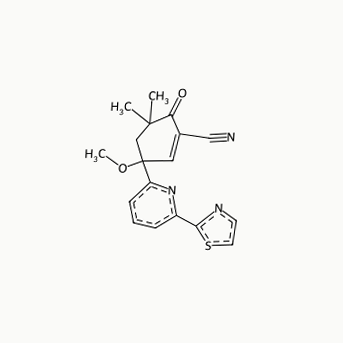 COC1(c2cccc(-c3nccs3)n2)C=C(C#N)C(=O)C(C)(C)C1